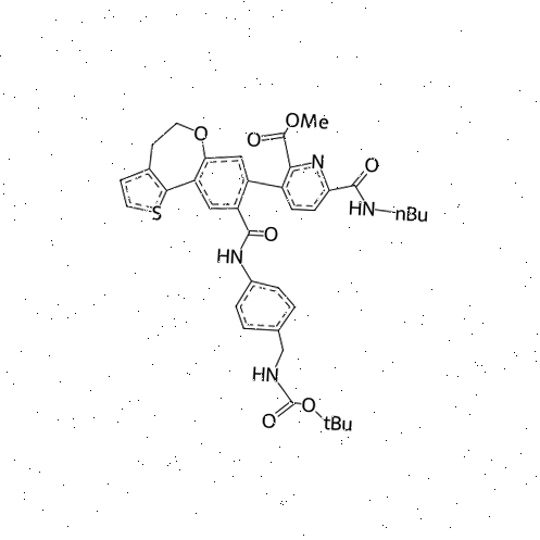 CCCCNC(=O)c1ccc(-c2cc3c(cc2C(=O)Nc2ccc(CNC(=O)OC(C)(C)C)cc2)-c2sccc2CCO3)c(C(=O)OC)n1